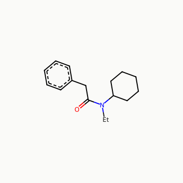 CCN(C(=O)Cc1ccccc1)C1CCCCC1